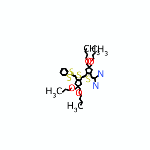 CCCCOCC1(COCCCC)Cc2c(/c(=c3\sc(=C4Sc5ccccc5S4)c4c3CC(COCCCC)(COCCCC)C4)sc2=C(C#N)C#N)C1